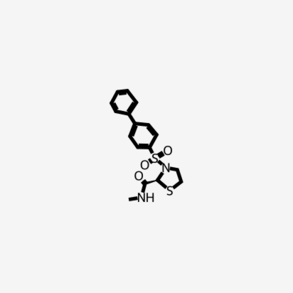 CNC(=O)[C@@H]1SCCN1S(=O)(=O)c1ccc(-c2ccccc2)cc1